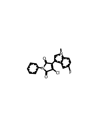 Cn1cc(C2=C(Cl)C(=O)N(c3ccccc3)C2=O)c2cc(F)ccc21